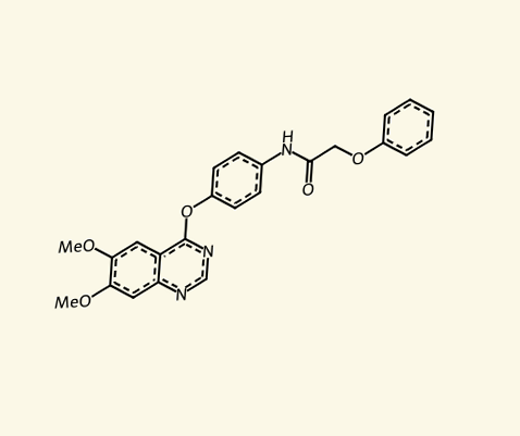 COc1cc2ncnc(Oc3ccc(NC(=O)COc4ccccc4)cc3)c2cc1OC